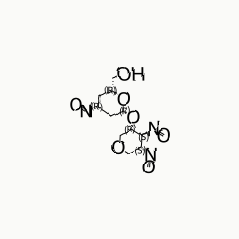 O=N[C@@H]1C[C@H](CO)O[C@H](O[C@H]2COC[C@@H](N=O)[C@@H]2N=O)C1